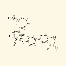 CN1C(=O)CNc2ccc(-c3ccc(C[C@H](NC(=O)[C@@H]4CN(C(=O)O)CCCO4)C(N)=O)cc3)cc21